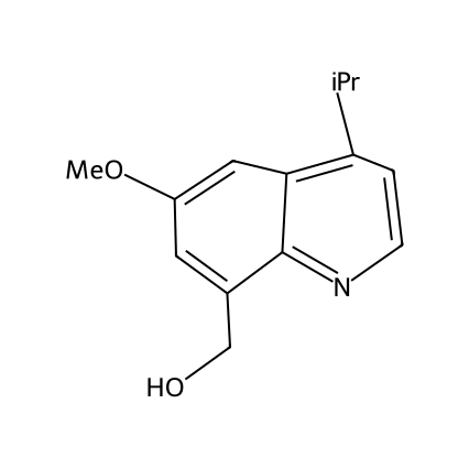 COc1cc(CO)c2nccc(C(C)C)c2c1